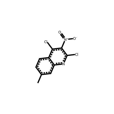 Cc1ccc2c(Cl)c([N+](=O)[O-])c(Cl)nc2c1